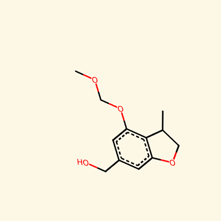 COCOc1cc(CO)cc2c1C(C)CO2